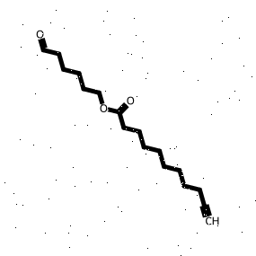 C#CCCCCCCCCC(=O)OCCCCCC=O